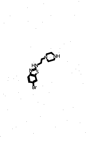 Brc1ccc2nc(NCCN3CCNCC3)sc2c1